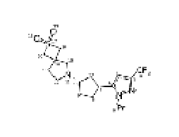 CC(C)n1nc(C(F)(F)F)cc1[C@H]1CC[C@H](N2CCC3(C2)CS(=O)(=O)C3)C1